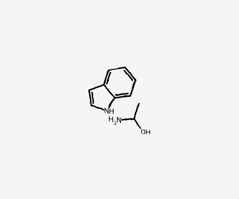 CC(N)O.c1ccc2[nH]ccc2c1